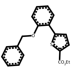 CCOC(=O)c1ccc(-c2ccccc2OCc2ccccc2)s1